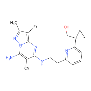 CCc1c(C)nn2c(N)c(C#N)c(NCCc3cccc(C4(CO)CC4)n3)nc12